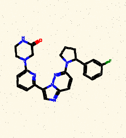 O=C1CN(c2cccc(-c3cnc4ccc(N5CCCC5c5cccc(F)c5)nn34)n2)CCN1